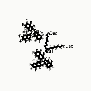 CCCCCCCCCCCCCCCCCc1nc[nH]c1CCCCCCCCCCCCCCCCC.Fc1c(F)c(F)c2c(F)[c]([Al]([c]3c(F)c(F)c4c(F)c(F)c(F)c(F)c4c3F)[c]3c(F)c(F)c4c(F)c(F)c(F)c(F)c4c3F)c(F)c(F)c2c1F.Fc1c(F)c(F)c2c(F)[c]([Al]([c]3c(F)c(F)c4c(F)c(F)c(F)c(F)c4c3F)[c]3c(F)c(F)c4c(F)c(F)c(F)c(F)c4c3F)c(F)c(F)c2c1F